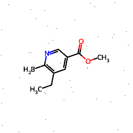 Bc1ncc(C(=O)OC)cc1CC